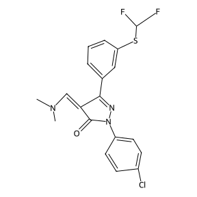 CN(C)C=C1C(=O)N(c2ccc(Cl)cc2)N=C1c1cccc(SC(F)F)c1